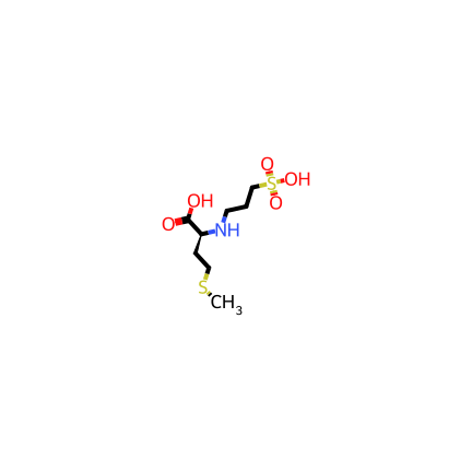 CSCC[C@H](NCCCS(=O)(=O)O)C(=O)O